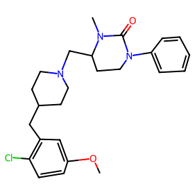 COc1ccc(Cl)c(CC2CCN(CC3CCN(c4ccccc4)C(=O)N3C)CC2)c1